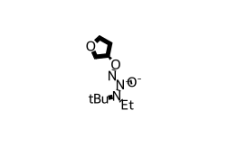 CCN(/[N+]([O-])=N/O[C@@H]1CCOC1)C(C)(C)C